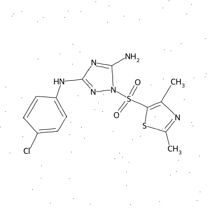 Cc1nc(C)c(S(=O)(=O)n2nc(Nc3ccc(Cl)cc3)nc2N)s1